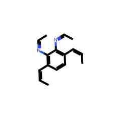 C/C=C\c1ccc(/C=C\C)c(/N=C\C)c1/N=C\C